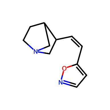 C(=C/C1CN2CCC1C2)/c1ccno1